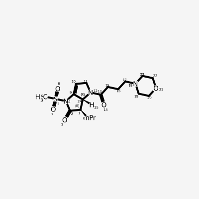 CCC[C@H]1C(=O)N(S(C)(=O)=O)C2=CCN(C(=O)CCCN3CCOCC3)[C@@H]21